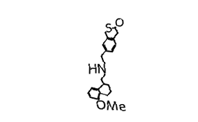 COc1cccc2c1CCCC2CCNCCc1ccc2c(c1)CSC(=O)C2